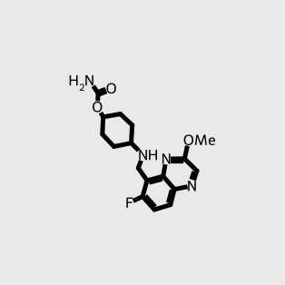 COc1cnc2ccc(F)c(CNC3CCC(OC(N)=O)CC3)c2n1